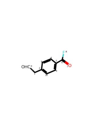 O=CCc1ccc(C(=O)F)cc1